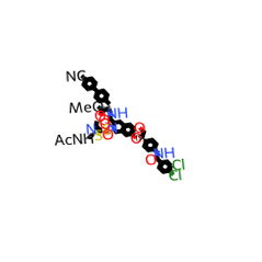 COC(=O)[C@H](Cc1ccc(-c2ccc(C#N)cc2)cc1)NC(=O)C1Cc2cc3c(cc2CN1S(=O)(=O)c1sc(NC(C)=O)nc1C)O[C@@H](c1ccc(NC(=O)c2ccc(Cl)c(Cl)c2)cc1)CO3